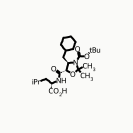 CC(C)C[C@H](NC(=O)[C@H]1OC(C)(C)N(C(=O)OC(C)(C)C)[C@@H]1CC1CCCCC1)C(=O)O